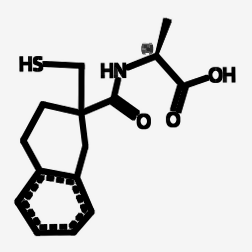 C[C@H](NC(=O)C1(CS)CCc2ccccc2C1)C(=O)O